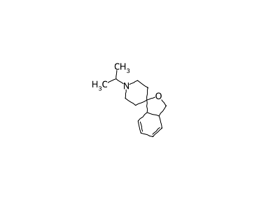 CC(C)N1CCC2(CC1)OCC1C=CC=CC12